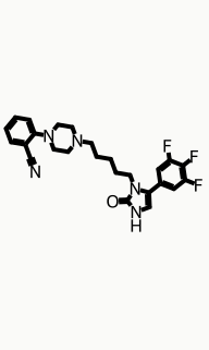 N#Cc1ccccc1N1CCN(CCCCCn2c(-c3cc(F)c(F)c(F)c3)c[nH]c2=O)CC1